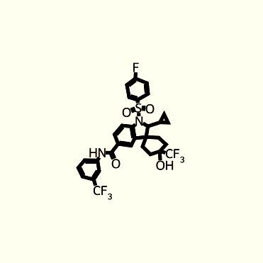 O=C(Nc1cccc(C(F)(F)F)c1)c1ccc2c(c1)C1(CCC(O)(C(F)(F)F)CC1)C(C1CC1)N2S(=O)(=O)c1ccc(F)cc1